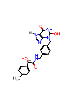 CCn1cnc2c1C(=O)NC(O)N2Cc1ccc(CNC(=O)[C@H](O)c2ccc(C)cc2)cc1